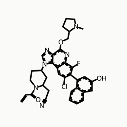 C=CC(=O)N1CCC(n2cnc3c(OCC4CCCN4C)nc4c(F)c(-c5cc(O)cc6ccccc56)c(Cl)cc4c32)CC1CC#N